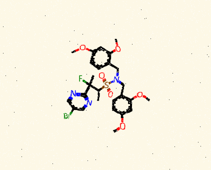 COc1ccc(CN(Cc2ccc(OC)cc2OC)S(=O)(=O)C(C)C(C)(F)c2ncc(Br)cn2)c(OC)c1